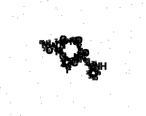 CN(C)CC(=O)N1CCN2C(=O)CN(C)C(=O)CC[C@@H](C(=O)NCCc3c[nH]c4ccccc34)N(C)C(=O)c3cc(F)ccc3OC[C@@H]2C1